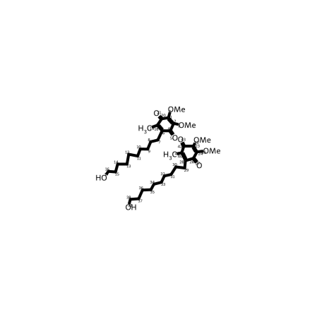 COC1=C(OC)C(=O)C(CCCCCCCCCCO)=C(C)C1=O.COC1=C(OC)C(=O)C(CCCCCCCCCCO)=C(C)C1=O